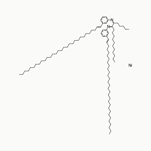 CCCCCCCCCCCCCCCCCCCCCCCCCCCCC=Cc1cccc(N=C(CCCCC)C(CCCCCCCCCCC)=Nc2cccc(C=CCCCCCCCCCCCCCCCCCCCCCCCCCCCC)c2)c1.[Ni]